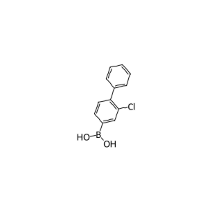 OB(O)c1ccc(-c2ccccc2)c(Cl)c1